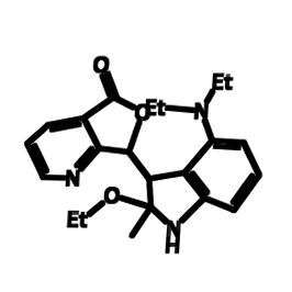 CCOC1(C)Nc2cccc(N(CC)CC)c2C1C1OC(=O)c2cccnc21